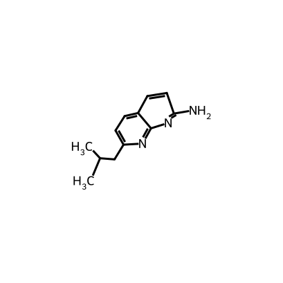 CC(C)Cc1ccc2ccc(N)nc2n1